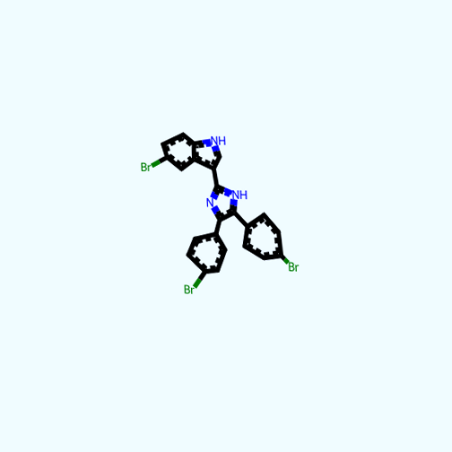 Brc1ccc(-c2nc(-c3c[nH]c4ccc(Br)cc34)[nH]c2-c2ccc(Br)cc2)cc1